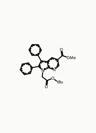 COC(=O)c1cnc2c(c1)c(-c1ccccc1)c(-c1ccccc1)n2CC(=O)OC(C)(C)C